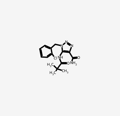 CC(C)(C)C(=O)Nc1c(C(N)=O)nnn1Cc1ccccc1Cl